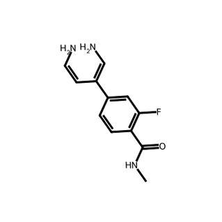 CNC(=O)c1ccc(C(/C=C\N)=C/N)cc1F